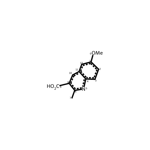 COc1ccc2nc(C)c(C(=O)O)cc2c1